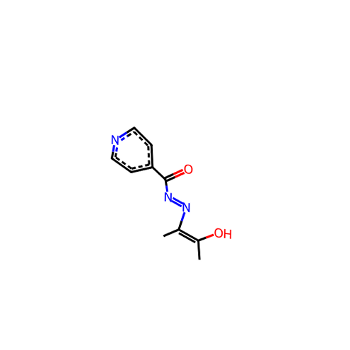 C/C(O)=C(C)/N=N/C(=O)c1ccncc1